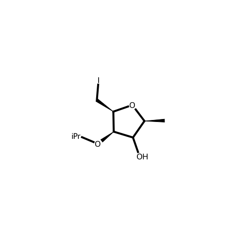 CC(C)O[C@@H]1C(O)[C@H](C)O[C@@H]1CI